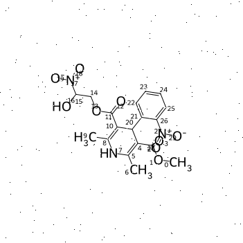 COC(=O)C1=C(C)NC(C)=C(C(=O)OCC(O)[N+](=O)[O-])C1c1ccccc1[N+](=O)[O-]